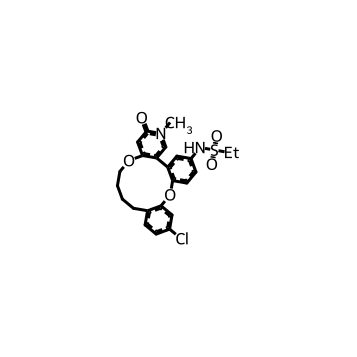 CCS(=O)(=O)Nc1ccc2c(c1)-c1cn(C)c(=O)cc1OCCCCc1ccc(Cl)cc1O2